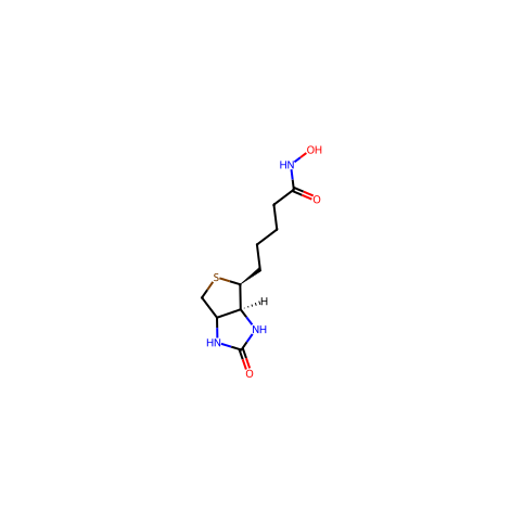 O=C(CCCC[C@@H]1SCC2NC(=O)N[C@@H]21)NO